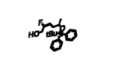 C[C@H](C/C=C(/F)CO)O[Si](c1ccccc1)(c1ccccc1)C(C)(C)C